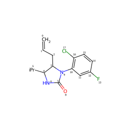 C=CCC1C(C(C)C)NC(=O)N1c1cc(F)ccc1Cl